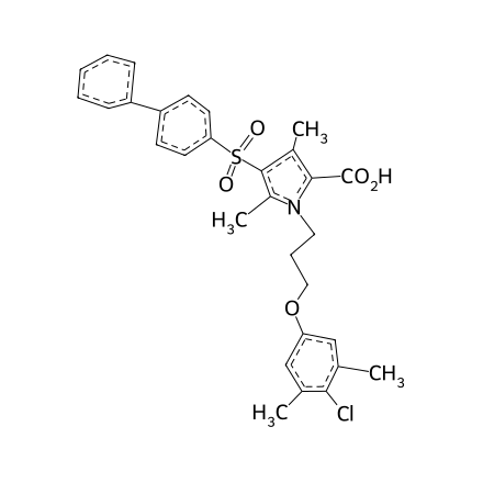 Cc1cc(OCCCn2c(C)c(S(=O)(=O)c3ccc(-c4ccccc4)cc3)c(C)c2C(=O)O)cc(C)c1Cl